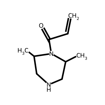 C=CC(=O)N1C(C)CNCC1C